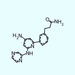 NC(=O)CCc1cccc(-c2cc(N)cc(Nc3cnccn3)n2)c1